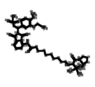 CCOc1cc(C(CS(C)(=O)=O)N2C(=O)c3cccc(NC(=O)CCCCCCCCCNC(C(=O)N4CCCC4C)C(C)(C)C)c3C2=O)ccc1OC